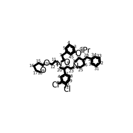 CC(C)Oc1cccc(CC(=O)N(CCOC2CCCCO2)CC(CCN2CCC(Cc3ccccc3)CC2)c2ccc(Cl)c(Cl)c2)c1